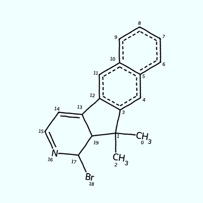 CC1(C)c2cc3ccccc3cc2C2=CC=NC(Br)C21